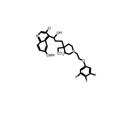 COc1ccc2ncc(Cl)c(C(O)CCC3(CC(=O)O)CCN(CCOc4cc(F)c(F)c(F)c4)CC3)c2c1